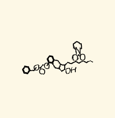 CCCCCC(CCC1C2Cc3cccc(OCC(=O)OCc4ccccc4)c3CC2C[C@H]1O)OC(=O)N1CCCCC1